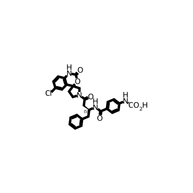 O=C(O)Nc1ccc(C(=O)N[C@H](CC(=O)N2CCC3(C2)OC(=O)Nc2ccc(Cl)cc23)Cc2ccccc2)cc1